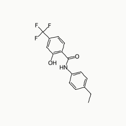 CCc1ccc(NC(=O)c2ccc(C(F)(F)F)cc2O)cc1